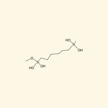 CO[Si](O)(O)CCCCCC[Si](C)(O)O